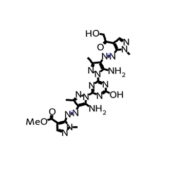 COC(=O)c1cnn(C)c1/N=N/c1c(C)nn(-c2nc(O)nc(-n3nc(C)c(/N=N/c4c(C(=O)CO)cnn4C)c3N)n2)c1N